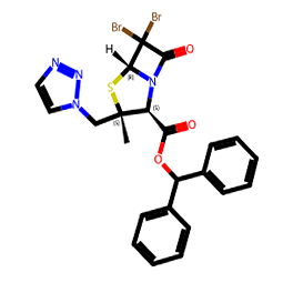 C[C@@]1(Cn2ccnn2)S[C@H]2N(C(=O)C2(Br)Br)[C@H]1C(=O)OC(c1ccccc1)c1ccccc1